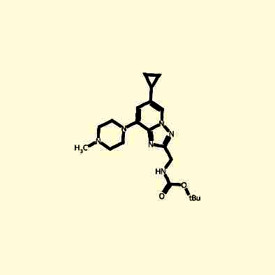 CN1CCN(c2cc(C3CC3)cn3nc(CNC(=O)OC(C)(C)C)nc23)CC1